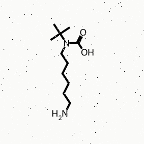 CC(C)(C)N(CCCCCCN)C(=O)O